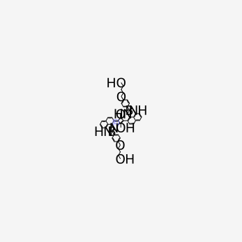 O=C1C(c2ccc3cccc4c3c2NB(c2ccc(OCCCO)cc2)N4)=C(O)/C1=c1/ccc2cccc3c2c1=NB(c1ccc(OCCCO)cc1)N3